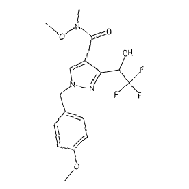 COc1ccc(Cn2cc(C(=O)N(C)OC)c(C(O)C(F)(F)F)n2)cc1